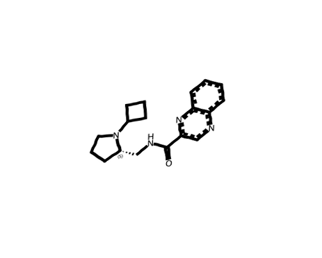 O=C(NC[C@@H]1CCCN1C1CCC1)c1cnc2ccccc2n1